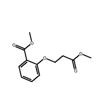 COC(=O)CCOc1ccccc1C(=O)OC